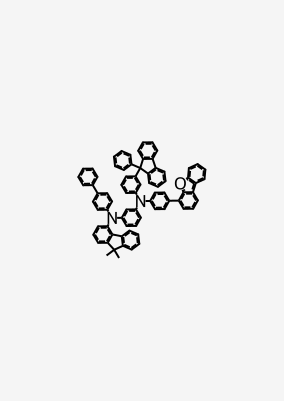 CC1(C)c2ccccc2-c2c(N(c3ccc(-c4ccccc4)cc3)c3cccc(N(c4ccc(-c5cccc6c5oc5ccccc56)cc4)c4cccc(C5(c6ccccc6)c6ccccc6-c6ccccc65)c4)c3)cccc21